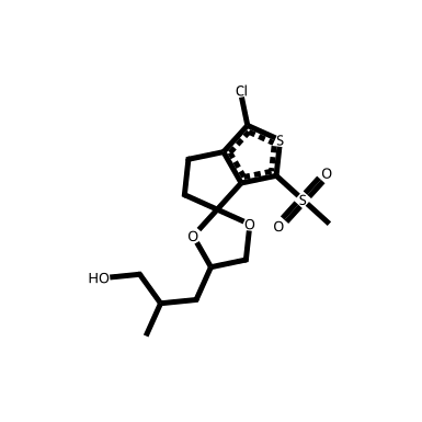 CC(CO)CC1COC2(CCc3c(Cl)sc(S(C)(=O)=O)c32)O1